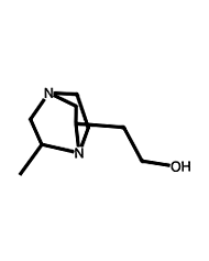 CC1CN2CCN1C(CCO)C2